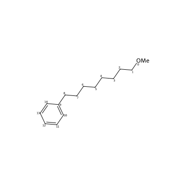 COCCCCCCCCc1ccccc1